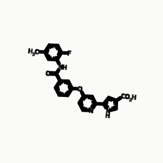 Cc1ccc(F)c(NC(=O)c2cccc(Oc3ccnc(-c4cc(C(=O)O)c[nH]4)c3)c2)c1